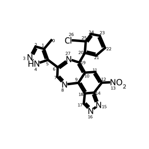 Cc1cn[nH]c1-c1cnc2c(cc([N+](=O)[O-])c3nncc32)c(-c2ccccc2Cl)n1